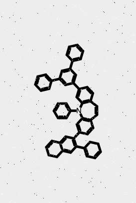 C1=CCCC(c2cc3c(cc2-c2ccc4c(c2)N(c2ccccc2)c2cc(-c5cc(-c6ccccc6)cc(-c6ccccc6)c5)ccc2C=C4)C=CCC3)=C1